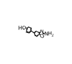 Nc1nc2cc(-c3ccc(O)cc3)ccc2o1